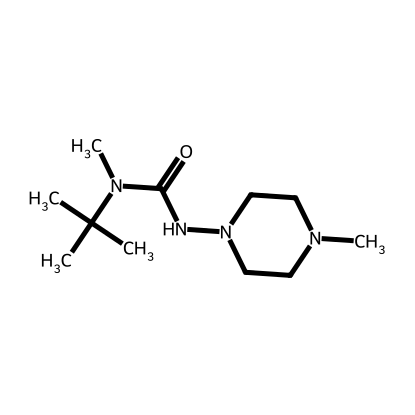 CN1CCN(NC(=O)N(C)C(C)(C)C)CC1